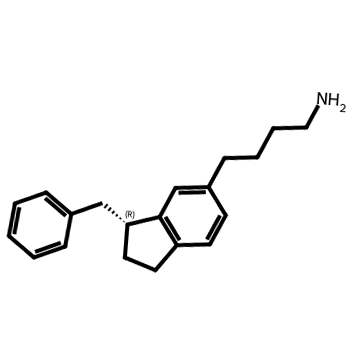 NCCCCc1ccc2c(c1)[C@@H](Cc1ccccc1)CC2